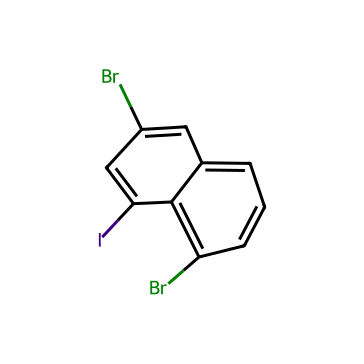 Brc1cc(I)c2c(Br)cccc2c1